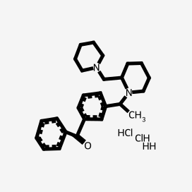 CC(c1cccc(C(=O)c2ccccc2)c1)N1CCCCC1CN1CCCCC1.Cl.Cl.[HH]